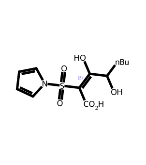 CCCCC(O)/C(O)=C(\C(=O)O)S(=O)(=O)n1cccc1